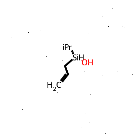 C=CC[SiH](O)C(C)C